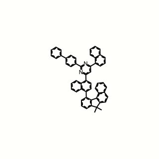 CC1(C)c2cccc(-c3ccc(-c4cc(-c5cccc6ccccc56)nc(-c5ccc(-c6ccccc6)cc5)n4)c4ccccc34)c2-c2c1ccc1ccccc21